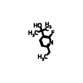 CCc1ccc(C(C)(C)O)c(F)n1